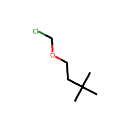 CC(C)(C)CCOCCl